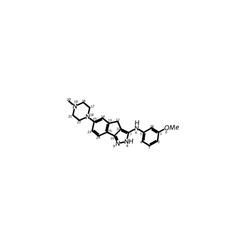 COc1cccc(Nc2[nH]nc3c2Cc2cc(N4CCN(C)CC4)ccc2-3)c1